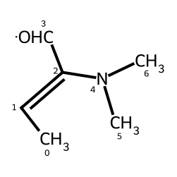 CC=C([C]=O)N(C)C